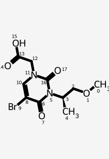 COC[C@@H](C)n1c(=O)c(Br)cn(CC(=O)O)c1=O